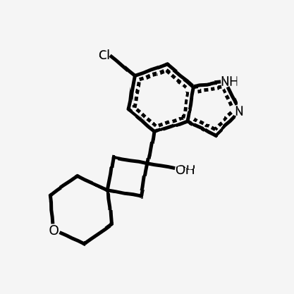 OC1(c2cc(Cl)cc3[nH]ncc23)CC2(CCOCC2)C1